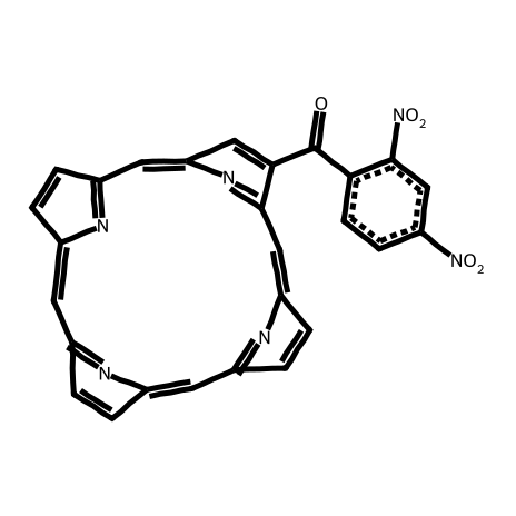 O=C(C1=CC2=CC3=NC(=CC4=NC(=CC5=NC(=CC1=N2)C=C5)C=C4)C=C3)c1ccc([N+](=O)[O-])cc1[N+](=O)[O-]